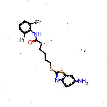 CC(C)c1cccc(C(C)C)c1NC(=O)CCCCCSc1nc2ccc(N)cc2s1